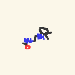 CC(=O)NCCNc1c[c]cc(C)c1C